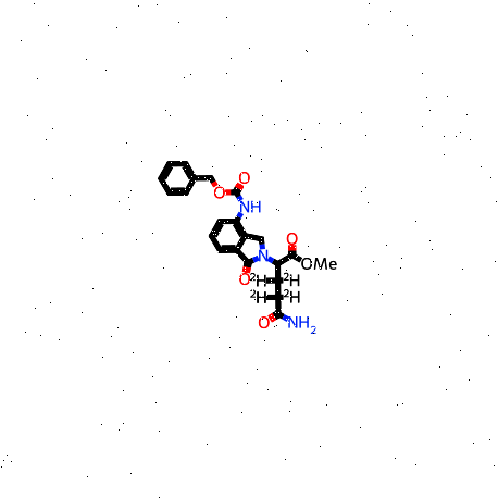 [2H]C([2H])(C(N)=O)C([2H])([2H])C(C(=O)OC)N1Cc2c(NC(=O)OCc3ccccc3)cccc2C1=O